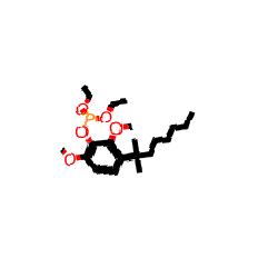 CCCCCCC(C)(C)c1ccc(OC)c(OP(OCC)OCC)c1OC